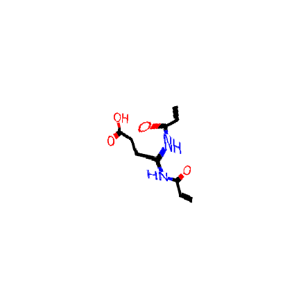 C=CC(=O)NC(CCC(=O)O)NC(=O)C=C